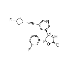 O=C1N[C@H](c2cncc(C#C[C@H]3C[C@@H](F)C3)c2)[C@@H](c2cccc(F)c2)O1